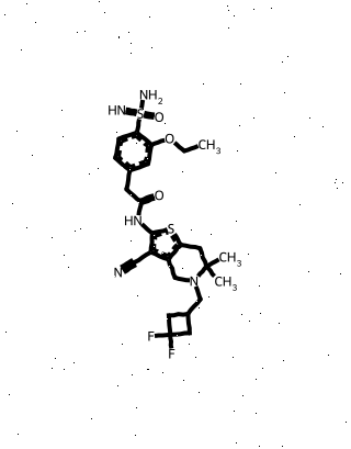 CCOc1cc(CC(=O)Nc2sc3c(c2C#N)CN(CC2CC(F)(F)C2)C(C)(C)C3)ccc1S(=N)(N)=O